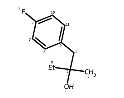 CCC(C)(O)Cc1ccc(F)cc1